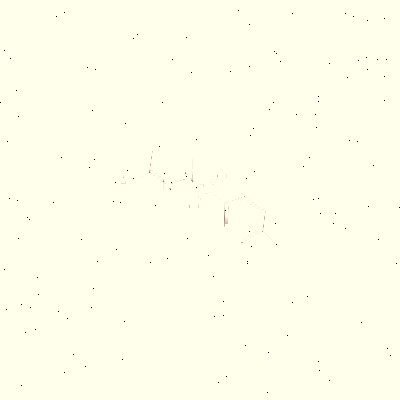 CC(=O)C(C)=NNS(=O)(=O)c1ccc(C)cc1